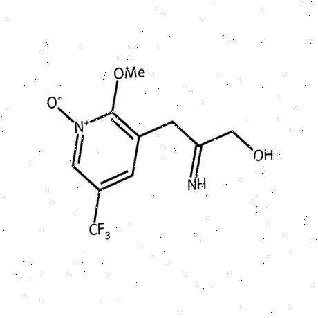 COc1c(CC(=N)CO)cc(C(F)(F)F)c[n+]1[O-]